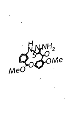 COC(=O)c1cccc(Nc2nc(N)c(C(=O)c3ccccc3OC)s2)c1